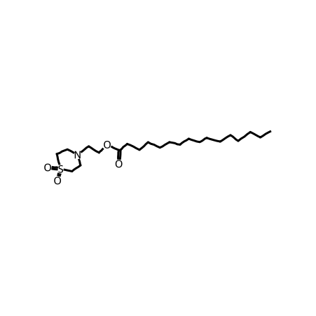 CCCCCCCCCCCCCCCC(=O)OCCN1CCS(=O)(=O)CC1